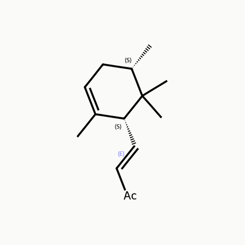 CC(=O)/C=C/[C@@H]1C(C)=CC[C@H](C)C1(C)C